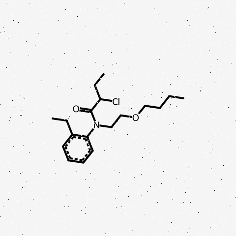 CCCCOCCN(C(=O)C(Cl)CC)c1ccccc1CC